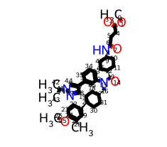 COC(=O)CCC(=O)N[C@H]1CC[C@H](C(=O)N(C[C@H]2CC[C@H](c3ccc(OC)c(C)c3)CC2)c2cccc(-c3cnn(C(C)C)c3)c2)CC1